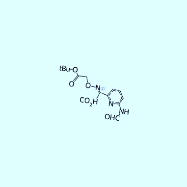 CC(C)(C)OC(=O)CO/N=C(\C(=O)O)c1cccc(NC=O)n1